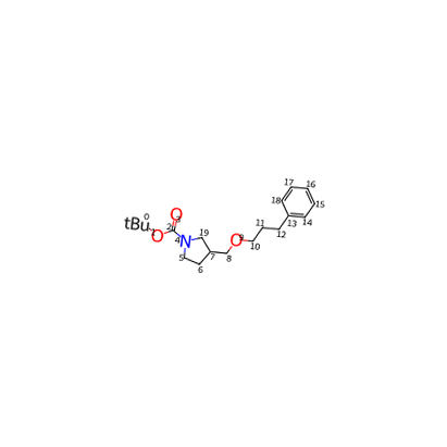 CC(C)(C)OC(=O)N1CCC(COCCCc2ccccc2)C1